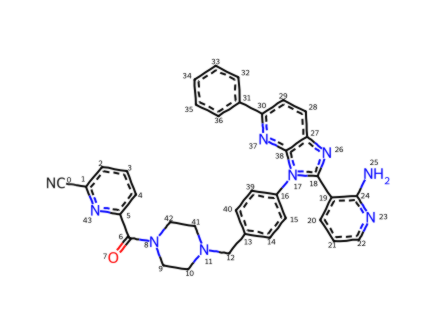 N#Cc1cccc(C(=O)N2CCN(Cc3ccc(-n4c(-c5cccnc5N)nc5ccc(-c6ccccc6)nc54)cc3)CC2)n1